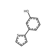 Oc1[c]ccc(-c2cccs2)c1